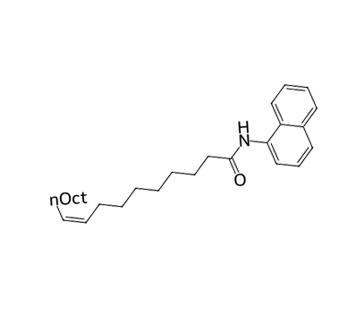 CCCCCCCC/C=C\CCCCCCCC(=O)Nc1cccc2ccccc12